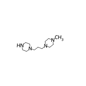 CN1CCN(CCCN2CCNCC2)CC1